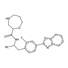 N#CC(Cc1ccc(-c2nc3ccccc3s2)cc1F)NC(=O)C1CNCCCO1